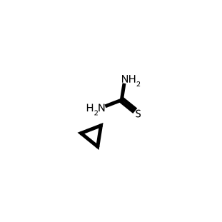 C1CC1.NC(N)=S